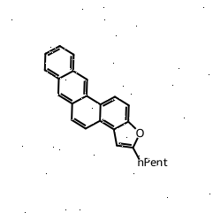 CCCCCc1cc2c(ccc3c4cc5ccccc5cc4ccc23)o1